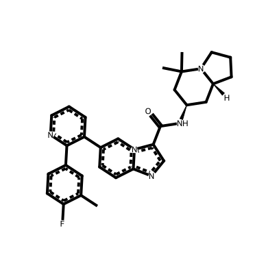 Cc1cc(-c2ncccc2-c2ccc3ncc(C(=O)N[C@@H]4C[C@H]5CCCN5C(C)(C)C4)n3c2)ccc1F